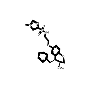 CN[C@@H]1COc2ccc(OCCNS(=O)(=O)c3cn(C)cn3)cc2[C@@H]1Cc1ccccc1